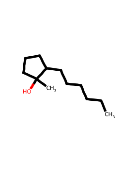 CCCCCCC1CCCC1(C)O